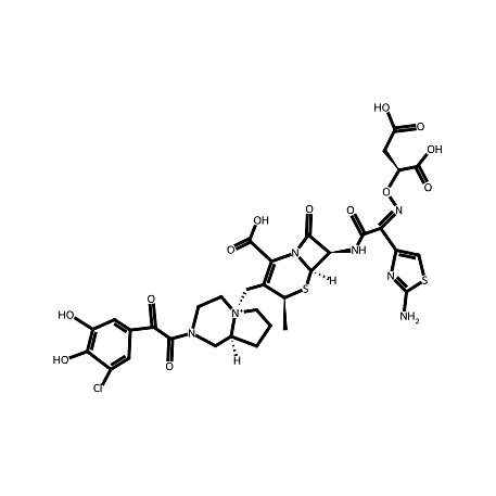 C[C@@H]1S[C@@H]2[C@H](NC(=O)/C(=N\O[C@@H](CC(=O)O)C(=O)O)c3csc(N)n3)C(=O)N2C(C(=O)O)=C1C[N@+]12CCC[C@H]1CN(C(=O)C(=O)c1cc(O)c(O)c(Cl)c1)CC2